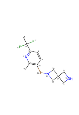 Cc1nc(C(C)(F)F)ccc1SN1CC2(CNC2)C1